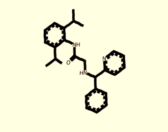 CC(C)c1cccc(C(C)C)c1NC(=O)CNC(c1ccccc1)c1ccccn1